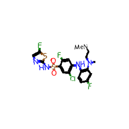 CNCCN(C)c1cc(F)ccc1Nc1cc(F)c(S(=O)(=O)Nc2ncc(F)s2)cc1Cl